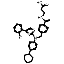 C=C(NCCC(=O)O)c1ccc(CN(c2ccc(C3CCCCC3)cc2)c2nc(-c3ccccc3Cl)cs2)cc1